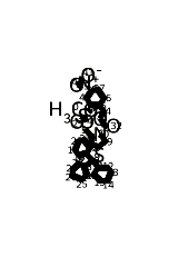 CS(=O)(=O)OCC1CC(SC(c2ccccc2)(c2ccccc2)c2ccccc2)CN1C(=O)OCc1ccc([N+](=O)[O-])cc1